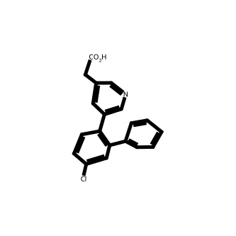 O=C(O)Cc1cncc(-c2ccc(Cl)cc2-c2ccccc2)c1